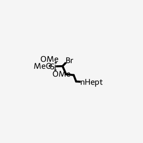 CCCCCCCCCCC(Br)[Si](OC)(OC)OC